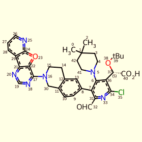 CC1(C)CCN(c2c(-c3ccc4c(c3)CCN(c3ncnc5c3oc3ncccc35)C4)c(C=O)nc(Cl)c2[C@H](OC(C)(C)C)C(=O)O)CC1